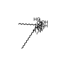 CCCCCCCCCCCCCCCCCC(=O)N(CCCCCCCCCCCC)[C@@H]1O[C@H](CO)[C@@H](O)[C@H](O)[C@H]1NC(=O)[C@@H](C)N